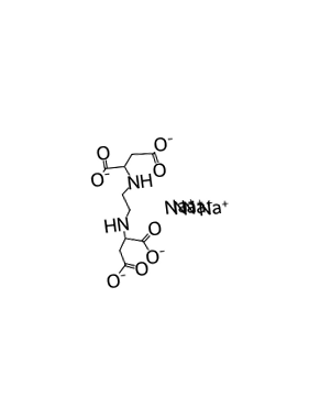 O=C([O-])CC(NCCNC(CC(=O)[O-])C(=O)[O-])C(=O)[O-].[Na+].[Na+].[Na+].[Na+]